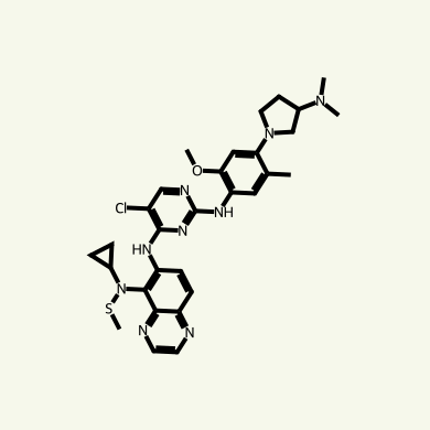 COc1cc(N2CCC(N(C)C)C2)c(C)cc1Nc1ncc(Cl)c(Nc2ccc3nccnc3c2N(SC)C2CC2)n1